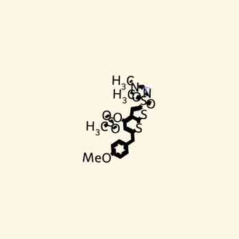 COc1ccc(CC2=CC(OS(C)(=O)=O)=C3C=C(S(=O)(=O)/N=C\N(C)C)SC3S2)cc1